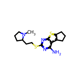 CN1CCCC1CCSc1nc(N)c2c3c(sc2n1)CCC3